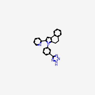 c1ccc(-c2cc3c(n2-c2cccc(-c4nn[nH]n4)c2)CCc2ccccc2-3)nc1